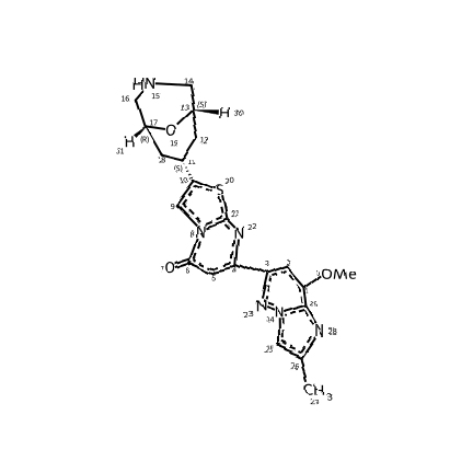 COc1cc(-c2cc(=O)n3cc([C@H]4C[C@H]5CNC[C@@H](C4)O5)sc3n2)nn2cc(C)nc12